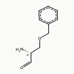 N[C@@H](C=O)COCc1ccccc1